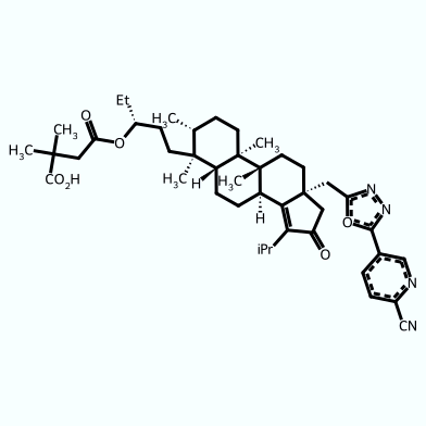 CC[C@H](CC[C@@]1(C)[C@H](C)CC[C@]2(C)[C@@H]1CC[C@@H]1C3=C(C(C)C)C(=O)C[C@]3(Cc3nnc(-c4ccc(C#N)nc4)o3)CC[C@]12C)OC(=O)CC(C)(C)C(=O)O